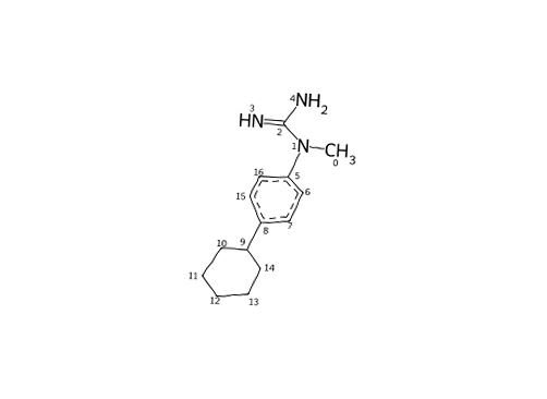 CN(C(=N)N)c1ccc(C2CCCCC2)cc1